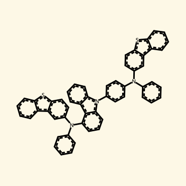 c1ccc(N(c2ccc(-n3c4ccccc4c4c(N(c5ccccc5)c5ccc6sc7ccccc7c6c5)cccc43)cc2)c2ccc3sc4ccccc4c3c2)cc1